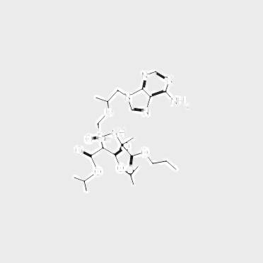 CCCOC(=O)C(C)(C)N[P@](=O)(COC(C)Cn1cnc2c(N)ncnc21)C(C(=O)OC(C)C)C(=O)OC(C)C